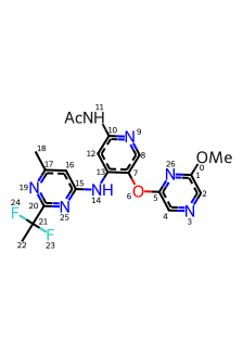 COc1cncc(Oc2cnc(NC(C)=O)cc2Nc2cc(C)nc(C(C)(F)F)n2)n1